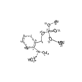 CN(C(=O)O)c1ncccc1COP(=O)(OC(C)(C)C)OC(C)(C)C